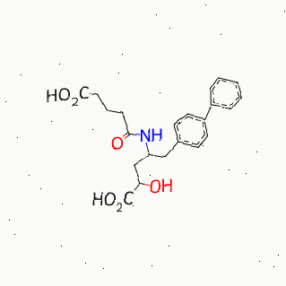 O=C(O)CCCC(=O)NC(Cc1ccc(-c2ccccc2)cc1)CC(O)C(=O)O